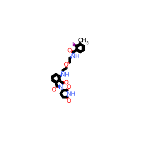 Cc1cccc(C(=O)NCCOCCNc2cccc3c2C(=O)N(C2CCC(=O)NC2=O)C3=O)c1I